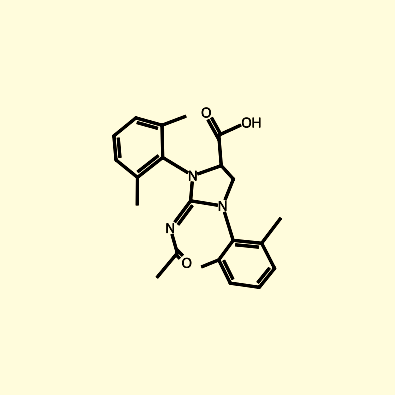 CC(=O)N=C1N(c2c(C)cccc2C)CC(C(=O)O)N1c1c(C)cccc1C